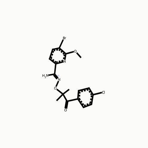 COc1nc(/C(N)=N/OC(C)(C)C(=O)c2ccc(Cl)cc2)ccc1Br